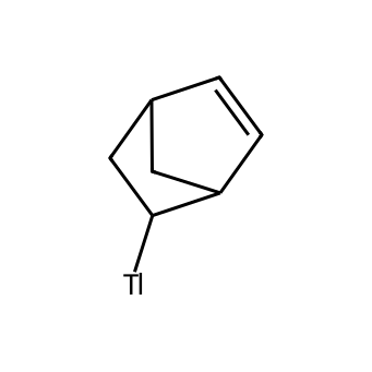 [Tl][CH]1CC2C=CC1C2